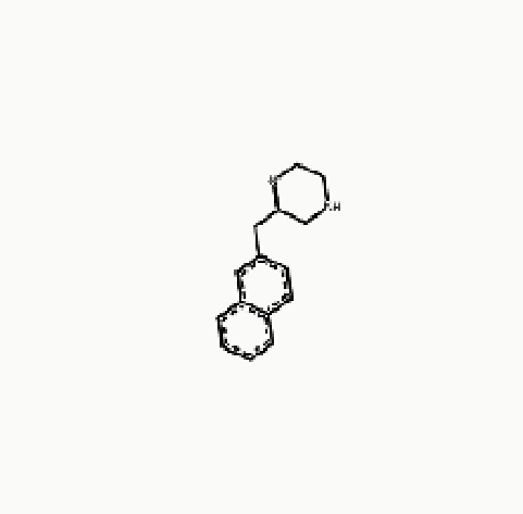 c1ccc2cc(CC3CNCC[N]3)ccc2c1